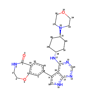 O=C1NCCOc2cc(-c3c[nH]c4ncnc(N[C@H]5CC[C@H](N6CCOCC6)CC5)c34)ccc21